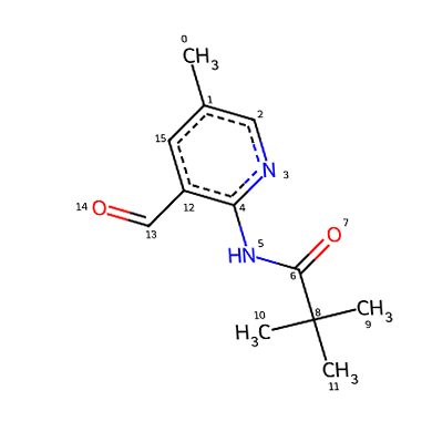 Cc1cnc(NC(=O)C(C)(C)C)c(C=O)c1